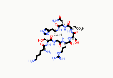 N=C(N)NCCC[C@H](NC(=O)CNC(=O)[C@H](CO)NC(=O)[C@@H](N)CCCCN)C(=O)N[C@@H](CO)C(=O)N[C@@H](CC(=O)O)C(=O)N[C@@H](CC(N)=O)C(=O)N[C@@H](Cc1c[nH]cn1)C(=O)O